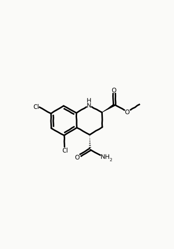 COC(=O)[C@H]1C[C@H](C(N)=O)c2c(Cl)cc(Cl)cc2N1